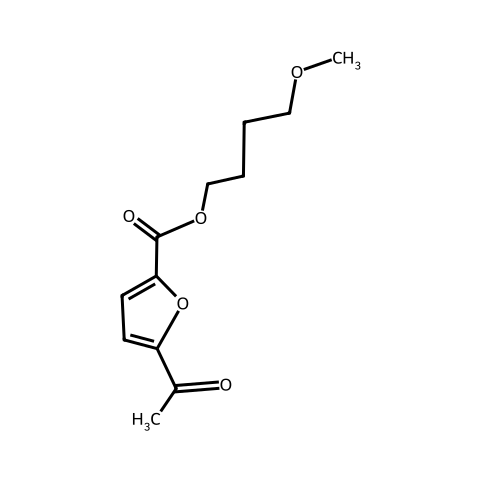 COCCCCOC(=O)c1ccc(C(C)=O)o1